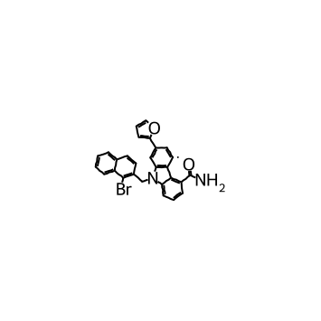 NC(=O)c1cccc2c1c1[c]cc(-c3ccco3)cc1n2Cc1ccc2ccccc2c1Br